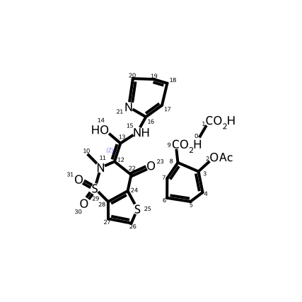 CC(=O)O.CC(=O)Oc1ccccc1C(=O)O.CN1/C(=C(\O)Nc2ccccn2)C(=O)c2sccc2S1(=O)=O